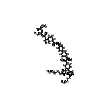 CCCCn1nnc(-c2ccc(C(=O)Nc3ccc(-c4ccc(NC(=O)c5cccc6c(C(=O)OC(C)OC(C)=O)cccc56)cc4)cc3)cc2-c2nnn(CCCC)n2)n1